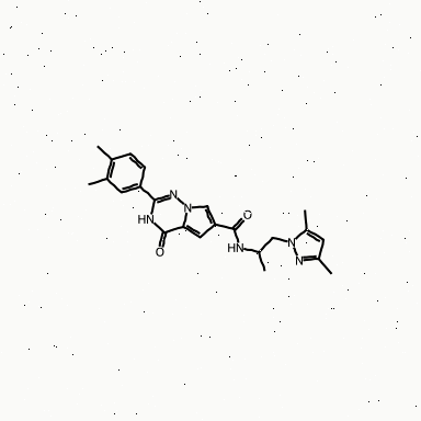 Cc1cc(C)n(CC(C)NC(=O)c2cc3c(=O)[nH]c(-c4ccc(C)c(C)c4)nn3c2)n1